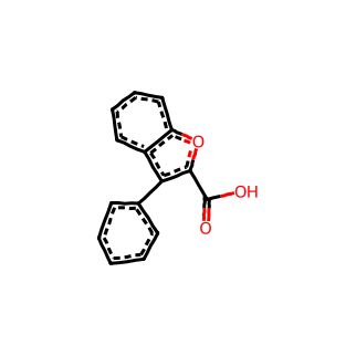 O=C(O)c1oc2ccccc2c1-c1ccccc1